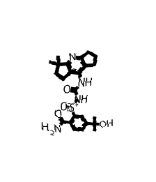 CC(C)(O)c1ccc(C(N)=O)c([S@@+]([O-])NC(=O)Nc2c3c(nc4c2CCC4(C)C)CCC3)c1